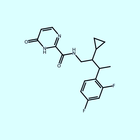 CC(c1ccc(F)cc1F)C(CNC(=O)c1nccc(=O)[nH]1)C1CC1